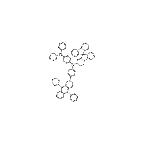 C1=C(N(c2ccc(-c3ccc4c(-c5ccccc5)c5ccccc5c(-c5ccccc5)c4c3)cc2)c2ccc(N(c3ccccc3)c3ccccc3)cc2)C=C2C(C1)c1ccccc1C21c2ccccc2-c2ccccc21